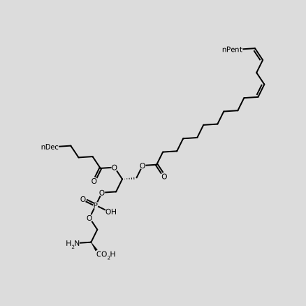 CCCCC/C=C\C/C=C\CCCCCCCCCC(=O)OC[C@H](COP(=O)(O)OC[C@H](N)C(=O)O)OC(=O)CCCCCCCCCCCCC